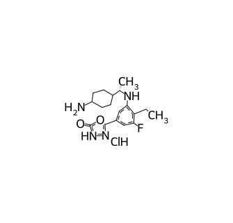 CCc1c(F)cc(-c2n[nH]c(=O)o2)cc1N[C@@H](C)C1CCC(N)CC1.Cl